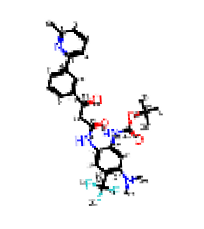 Cc1cccc(-c2cccc(C(=O)CC(=O)Nc3cc(C(F)(F)F)c(N(C)C)cc3NC(=O)OC(C)(C)C)c2)n1